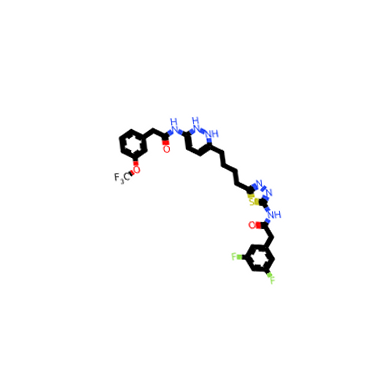 O=C(Cc1cccc(OC(F)(F)F)c1)NC1=CC=C(CCCCc2nnc(NC(=O)Cc3cc(F)cc(F)c3)s2)NN1